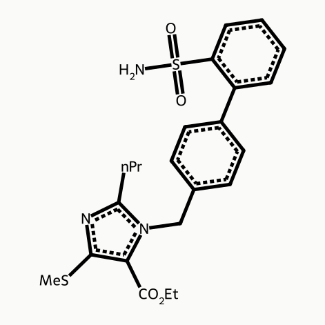 CCCc1nc(SC)c(C(=O)OCC)n1Cc1ccc(-c2ccccc2S(N)(=O)=O)cc1